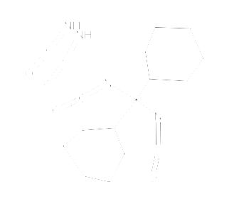 N=C=O.N=C=O.O=C=NC(N=C=O)(C1CCCCC1)C1CCCCC1